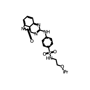 CC(C)OCCNS(=O)(=O)c1ccc(NC2=NCC34CC(=O)CC=NC3=CC=CC4=N2)cc1